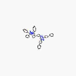 c1ccc(-c2ccc(-c3cc(-c4cccc(-c5cccc6c5cc(-c5ccccc5)n5nc(-c7ccccc7)c(-c7ccccc7)c65)c4)nc(-c4ccc(-c5ccccc5)cc4)n3)cc2)cc1